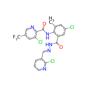 Cc1cc(Cl)cc(C(=O)NN=Cc2cccnc2Cl)c1NC(=O)c1ncc(C(F)(F)F)cc1Cl